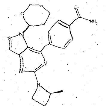 C[C@H]1CCN1c1nc(-c2ccc(C(N)=O)cc2)c2c(cnn2C2CCCCO2)n1